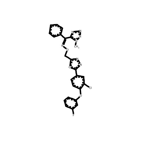 Cn1nnnc1/C(=N\OCc1nnc(-c2ccc(Oc3cccc(F)c3)c(Cl)c2)o1)c1ccccc1